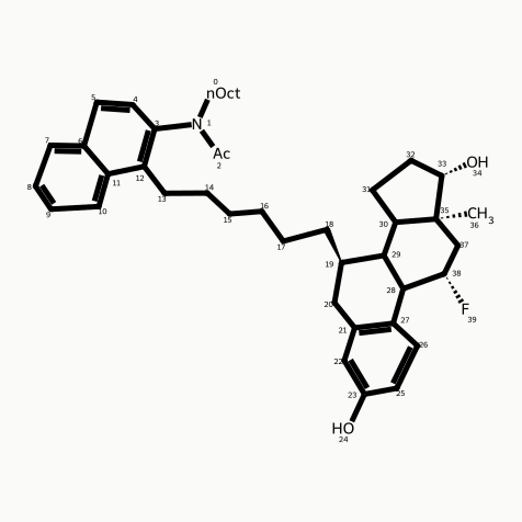 CCCCCCCCN(C(C)=O)c1ccc2ccccc2c1CCCCCC[C@@H]1Cc2cc(O)ccc2C2C1C1CC[C@H](O)[C@@]1(C)C[C@@H]2F